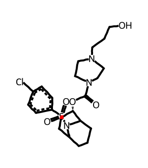 O=C(O[C@H]1CCC2CCCC1N2S(=O)(=O)c1ccc(Cl)cc1)N1CCN(CCCO)CC1